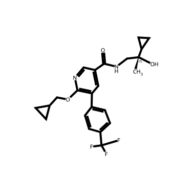 C[C@@](O)(CNC(=O)c1cnc(OCC2CC2)c(-c2ccc(C(F)(F)F)cc2)c1)C1CC1